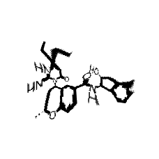 CCC1(CC)CC(=O)N([C@@H]2C[C@@H](C)Oc3ccc(C(=O)N[C@@H]4c5ccccc5C[C@H]4O)cc32)C(=N)N1